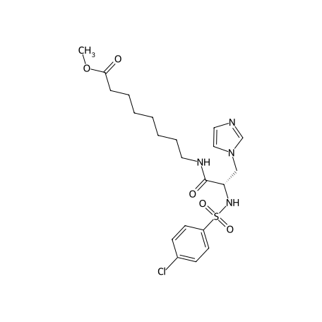 COC(=O)CCCCCCCNC(=O)[C@H](Cn1ccnc1)NS(=O)(=O)c1ccc(Cl)cc1